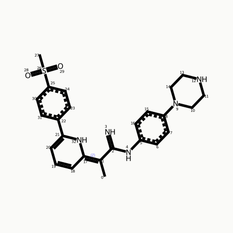 C/C(C(=N)Nc1ccc(N2CCNCC2)cc1)=C1\C=CC=C(c2ccc(S(C)(=O)=O)cc2)N1